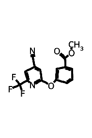 COC(=O)c1cccc(Oc2cc(C#N)cc(C(F)(F)F)n2)c1